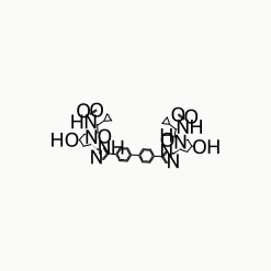 COC(=O)N[C@H](C(=O)N1C[C@H](O)C[C@H]1c1ncc(-c2ccc(-c3ccc(-c4cnc([C@@H]5C[C@@H](O)CN5C(=O)[C@@H](NC(=O)OC)C5CC5)[nH]4)cc3)cc2)[nH]1)C1CC1